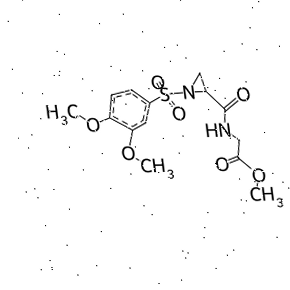 COC(=O)CNC(=O)C1CN1S(=O)(=O)c1ccc(OC)c(OC)c1